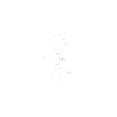 COc1ccccc1C(C)(C)c1ccc(C(C)(C)Oc2cc(O)c(C(C)C)cc2O)cc1